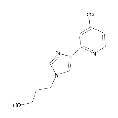 N#Cc1ccnc(-c2cn(CCCO)cn2)c1